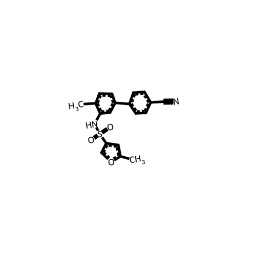 Cc1cc(S(=O)(=O)Nc2cc(-c3ccc(C#N)cc3)ccc2C)co1